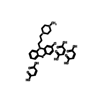 CN1CCN(CCCN2c3ccccc3Sc3ccc(Cl)cc32)CC1.O=C(O)/C=C\C(=O)O.O=C(O)/C=C\C(=O)O.O=C(O)/C=C\C(=O)O